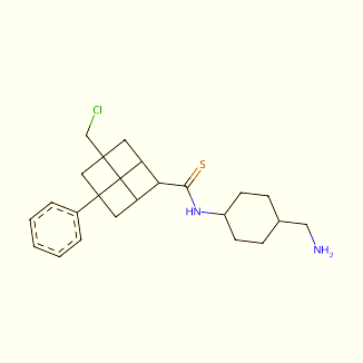 NCC1CCC(NC(=S)C2C3CC4(CCl)CC5(c6ccccc6)CC2C345)CC1